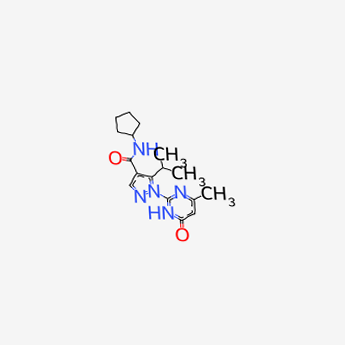 Cc1cc(=O)[nH]c(-n2ncc(C(=O)NC3CCCC3)c2C(C)C)n1